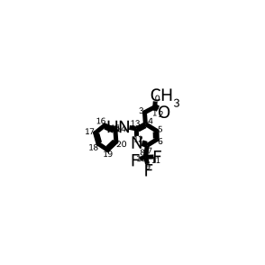 CC(=O)Cc1ccc(C(F)(F)F)nc1Nc1ccccc1